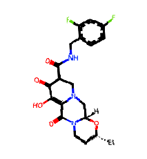 CC[C@@H]1CCN2C(=O)C3=C(O)C(=O)C(C(=O)NCc4ccc(F)cc4F)CN3C[C@@H]2O1